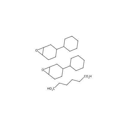 C1CCC(C2CCC3OC3C2)CC1.C1CCC(C2CCC3OC3C2)CC1.O=C(O)CCCCC(=O)O